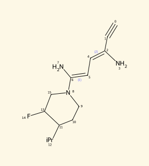 C#C/C(N)=C/C=C(\N)N1CCC(C(C)C)C(F)C1